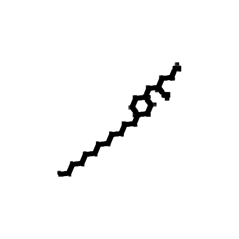 CCCCCCCCCCCCN1CCN(CC(O)CCO)CC1